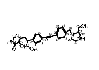 O=c1[nH]cnc(CC(CO)c2ccc(C#Cc3ccc(CN4CCNCC4CO)cc3)cc2)c1O